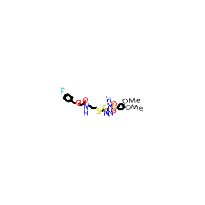 COc1ccc(S(=O)(=O)Nc2nnc(SCCCNC(=O)COCc3ccc(F)cc3)s2)cc1OC